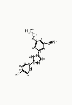 COCc1cc(C#N)cc(-n2nnc(-c3ccc(F)cn3)n2)c1